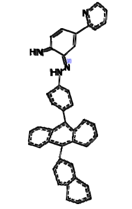 N=C1C=CC(c2ccccn2)=C/C1=N/Nc1ccc(-c2c3ccccc3c(-c3ccc4ccccc4c3)c3ccccc23)cc1